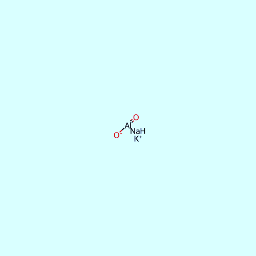 [K+].[NaH].[O]=[Al][O-]